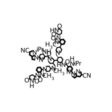 CC(C)Nc1cc(-n2ccc3cc(C#N)cnc32)ncc1C(=O)N[C@H]1CC[C@H](CN2CCC(c3cccc4c3n(C)c(=O)n4C3CCC(=O)NC3=O)CC2)C(C2CN(C(=O)C3=CN=C(n4ccc5cc(C#N)cnc54)CC3NC(C)C)CCC2CN(C)C2CCN(c3cccc4c3n(C)c(=O)n4C3CCC(=O)NC3=O)CC2)C1